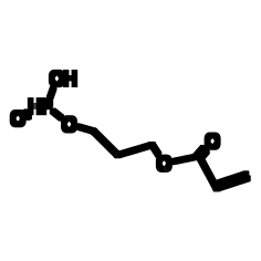 C=CC(=O)OCCCO[PH](=O)O